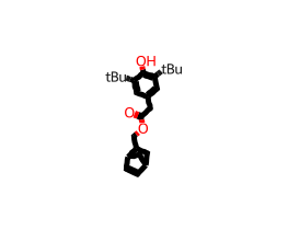 CC(C)(C)c1cc(CC(=O)OCC2CC3C=CC2C3)cc(C(C)(C)C)c1O